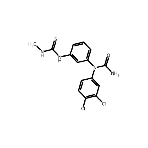 CNC(=S)Nc1cccc(N(C(N)=O)c2ccc(Cl)c(Cl)c2)c1